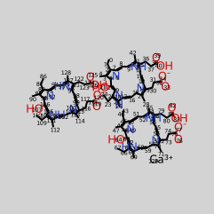 CCC1=C(C)c2nc1cc1[nH]c(cc3nc(cc4[nH]c(c2O)c(CC)c4C)C(C)=C3CCC(=O)[O-])c(CCC(=O)O)c1C.CCC1=C(C)c2nc1cc1[nH]c(cc3nc(cc4[nH]c(c2O)c(CC)c4C)C(C)=C3CCC(=O)[O-])c(CCC(=O)O)c1C.CCC1=C(C)c2nc1cc1[nH]c(cc3nc(cc4[nH]c(c2O)c(CC)c4C)C(C)=C3CCC(=O)[O-])c(CCC(=O)O)c1C.[Ga+3]